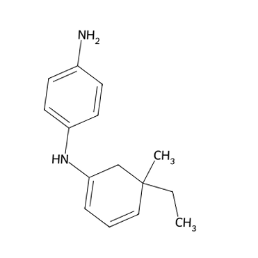 CCC1(C)C=CC=C(Nc2ccc(N)cc2)C1